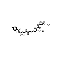 O=C(O)CC[C@H](NC(=O)N[C@@H](CCCCNC(=O)CC[C@H](NC(=O)c1ccc(F)nc1)C(=O)O)C(=O)O)C(=O)O